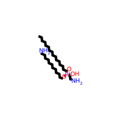 CCCCCCCCCCCCCCCC(=O)/[P+]([O-])=C(\O)CN.CCCCCCCCCCCCN